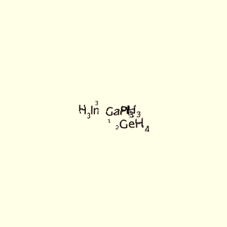 P.[GaH3].[GeH4].[InH3]